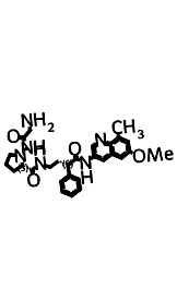 COc1cc(C)c2ncc(NC(=O)[C@@H](CCNC(=O)[C@@H]3CCCN3NC(=O)CN)c3ccccc3)cc2c1